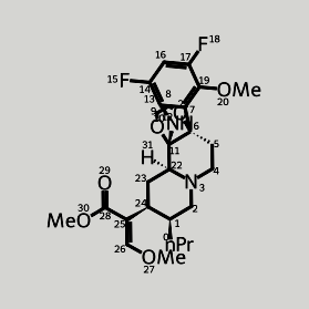 CCC[C@@H]1CN2CC[C@@]34OCCO[C@@]3(Nc3c(F)cc(F)c(OC)c34)[C@@H]2C[C@@H]1/C(=C\OC)C(=O)OC